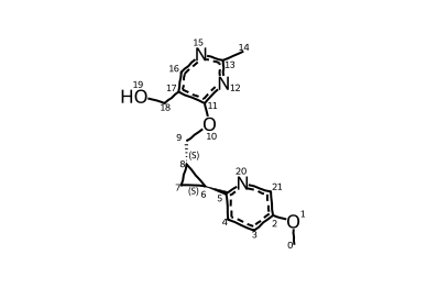 COc1ccc([C@H]2C[C@@H]2COc2nc(C)ncc2CO)nc1